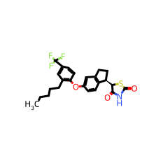 CCCCCc1cc(C(F)(F)F)ccc1Oc1ccc2c(c1)CC[C@H]2C1SC(=O)NC1=O